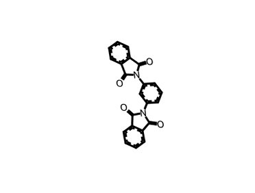 O=C1c2ccccc2C(=O)N1c1cccc(N2C(=O)c3ccccc3C2=O)c1